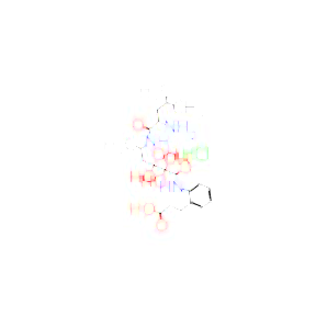 CC(C)C[C@H](N)C(=O)NC(C)CC(O)(O)C(O)(O)C(=O)Nc1ccccc1CCC(=O)O.Cl